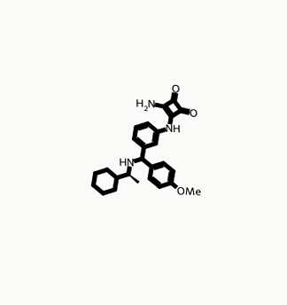 COc1ccc(C(N[C@@H](C)C2CCCCC2)c2cccc(Nc3c(N)c(=O)c3=O)c2)cc1